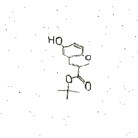 CC(C)(C)OC(=O)C1=Cc2cc(O)ccc2OC1